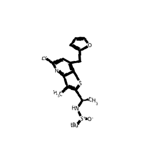 Cc1c([C@@H](C)N[S+]([O-])C(C)(C)C)sc2c([CH]c3ccco3)cc(Cl)nc12